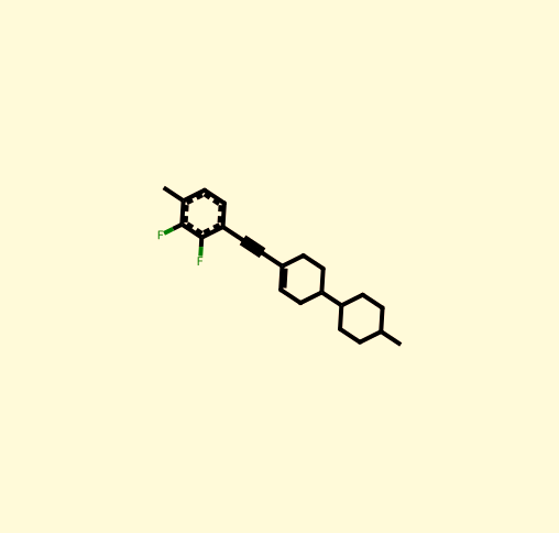 Cc1ccc(C#CC2=CCC(C3CCC(C)CC3)CC2)c(F)c1F